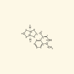 COc1ccccc1[C@H](CO)O[C@@H]1C[C@H]2COC[C@H]2C1